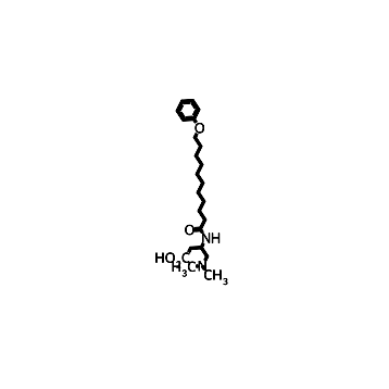 CN(C)CC(CC(=O)O)NC(=O)CCCCCCCCCCOc1ccccc1